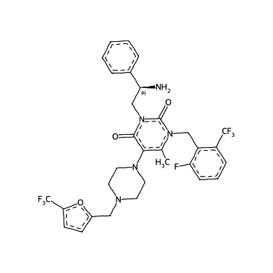 Cc1c(N2CCN(Cc3ccc(C(F)(F)F)o3)CC2)c(=O)n(C[C@H](N)c2ccccc2)c(=O)n1Cc1c(F)cccc1C(F)(F)F